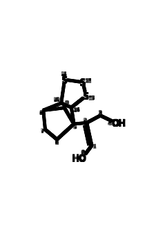 O/C=C(/CO)C12CCC(C1)C1SSSC12